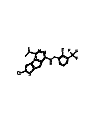 CC(C)c1nnc(NCc2cccc(C(F)(F)F)c2F)c2cc3sc(Cl)cc3n12